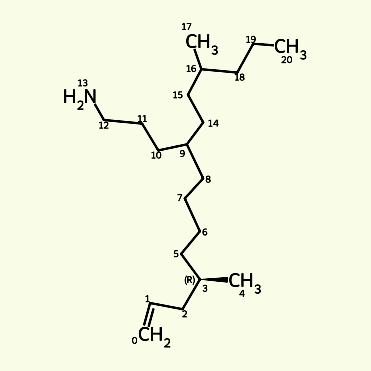 C=CC[C@H](C)CCCCC(CCCN)CCC(C)CCC